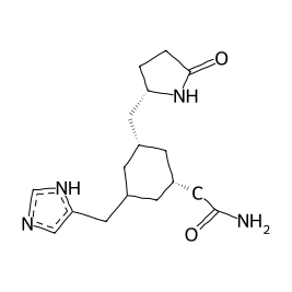 NC(=O)C[C@@H]1CC(Cc2cnc[nH]2)C[C@H](C[C@@H]2CCC(=O)N2)C1